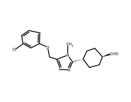 Cn1c(COc2cccc(Cl)c2)nnc1[C@H]1CC[C@H](C=O)CC1